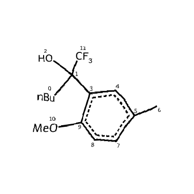 CCCCC(O)(c1cc(C)ccc1OC)C(F)(F)F